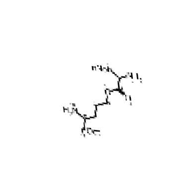 CCCCCCCCCC(N)C(=O)OCCCC(N)CCCCCCCC